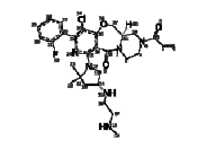 C=CC(=O)N1CCN2C(=O)c3c(N4C[C@H](NCCNC)CC4(C)C)nc(-c4ccccc4F)c(Cl)c3OC[C@H]2C1